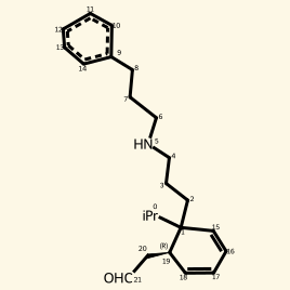 CC(C)C1(CCCNCCCc2ccccc2)C=CC=C[C@H]1CC=O